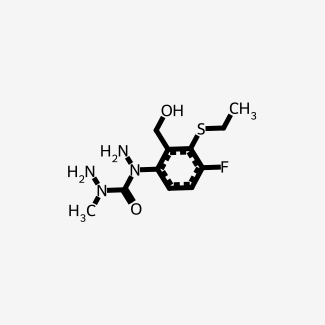 CCSc1c(F)ccc(N(N)C(=O)N(C)N)c1CO